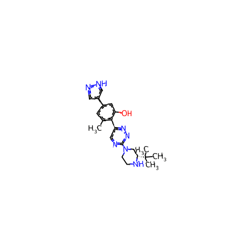 Cc1cc(-c2cn[nH]c2)cc(O)c1-c1cnc(N2CCN[C@@H](C(C)(C)C)C2)nn1